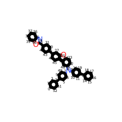 c1ccc(-c2ccc(N(c3ccc(-c4ccccc4)cc3)c3ccc4oc5cc(-c6ccc(-c7nc8ccccc8o7)cc6)ccc5c4c3)cc2)cc1